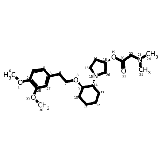 COc1ccc(CCO[C@@H]2CCCC[C@H]2N2CC[C@H](OC(=O)CN(C)C)C2)cc1OC